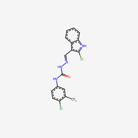 O=C(NN=Cc1c(Cl)[nH]c2ccccc12)Nc1ccc(Cl)c(C(F)(F)F)c1